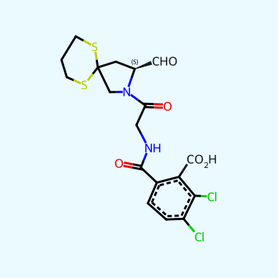 O=C[C@@H]1CC2(CN1C(=O)CNC(=O)c1ccc(Cl)c(Cl)c1C(=O)O)SCCCS2